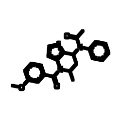 COc1cccc(C(=O)N2c3ccsc3C(N(C(C)=O)c3ccccc3)CC2C)c1